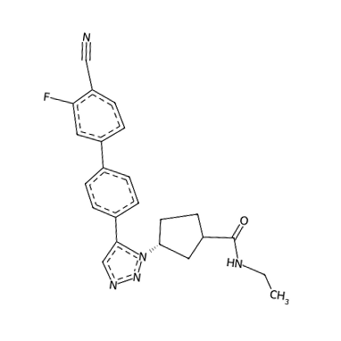 CCNC(=O)C1CC[C@@H](n2nncc2-c2ccc(-c3ccc(C#N)c(F)c3)cc2)C1